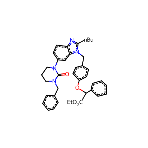 CCCCc1nc2ccc(N3CCCN(Cc4ccccc4)C3=O)cc2n1Cc1ccc(OC(C(=O)OCC)c2ccccc2)cc1